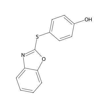 Oc1ccc(Sc2nc3ccccc3o2)cc1